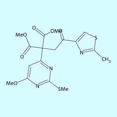 COC(=O)C(CC(=O)c1csc(C)n1)(C(=O)OC)c1cc(OC)nc(SC)n1